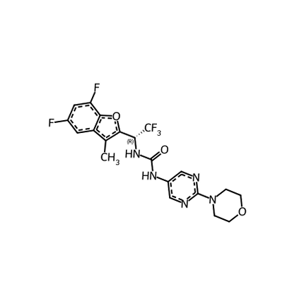 Cc1c([C@@H](NC(=O)Nc2cnc(N3CCOCC3)nc2)C(F)(F)F)oc2c(F)cc(F)cc12